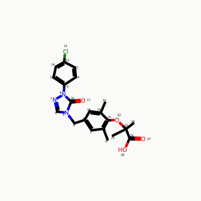 Cc1cc(Cn2cnn(-c3ccc(Cl)cc3)c2=O)cc(C)c1OC(C)(C)C(=O)O